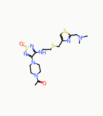 CC(=O)N1CCN(c2n[s+]([O-])nc2NCCSCc2csc(CN(C)C)n2)CC1